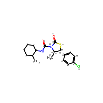 CC1CCCCC1NC(=O)N1C(=O)S[C@H](c2ccc(Cl)cc2)[C@H]1C